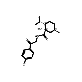 CC(C)[C@@H]1CC[C@@H](C)C[C@@]1(O)C(=O)NCC(=O)c1ccc(Cl)cc1